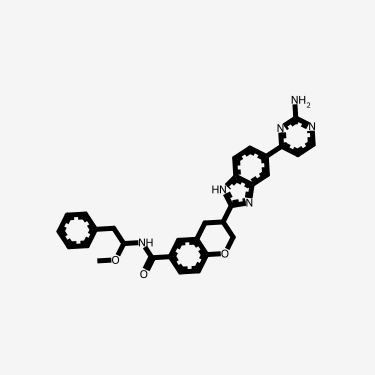 COC(Cc1ccccc1)NC(=O)c1ccc2c(c1)CC(c1nc3cc(-c4ccnc(N)n4)ccc3[nH]1)CO2